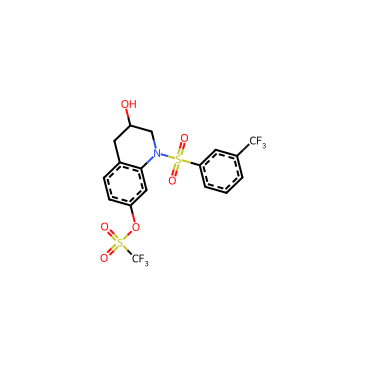 O=S(=O)(c1cccc(C(F)(F)F)c1)N1CC(O)Cc2ccc(OS(=O)(=O)C(F)(F)F)cc21